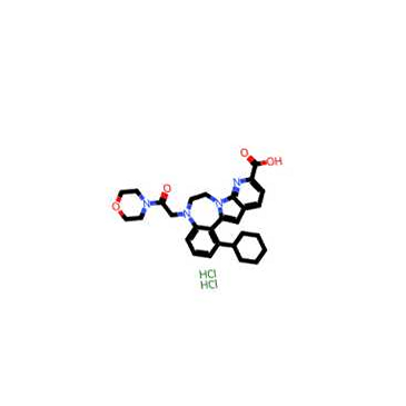 Cl.Cl.O=C(O)c1ccc2cc3n(c2n1)CCN(CC(=O)N1CCOCC1)c1cccc(C2CCCCC2)c1-3